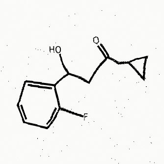 O=C(CC(O)c1ccccc1F)C1CC1